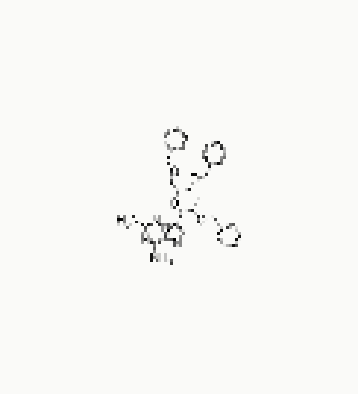 C[C@H](OCc1ccccc1)[C@@H](OC(COCc1ccccc1)COCc1ccccc1)c1cnc2c(N)nc(N)nn12